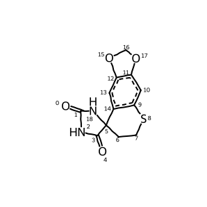 O=C1NC(=O)C2(CCSc3cc4c(cc32)OCO4)N1